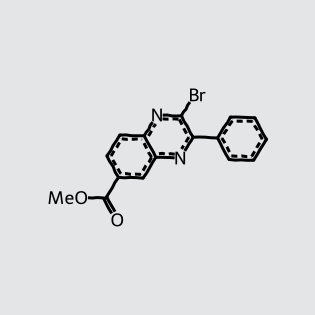 COC(=O)c1ccc2nc(Br)c(-c3ccccc3)nc2c1